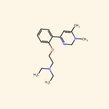 CCN(CC)CCOc1ccccc1C1=NCN(C)C(C)=C1